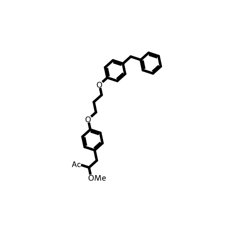 COC(Cc1ccc(OCCCOc2ccc(Cc3ccccc3)cc2)cc1)C(C)=O